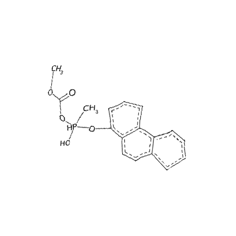 COC(=O)O[PH](C)(O)Oc1cccc2c1ccc1ccccc12